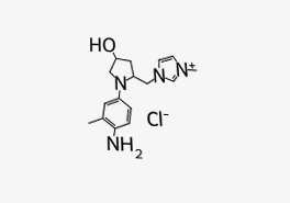 Cc1cc(N2CC(O)CC2Cn2cc[n+](C)c2)ccc1N.[Cl-]